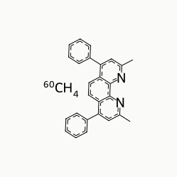 Cc1cc(-c2ccccc2)c2ccc3c(-c4ccccc4)cc(C)nc3c2n1.[60CH4]